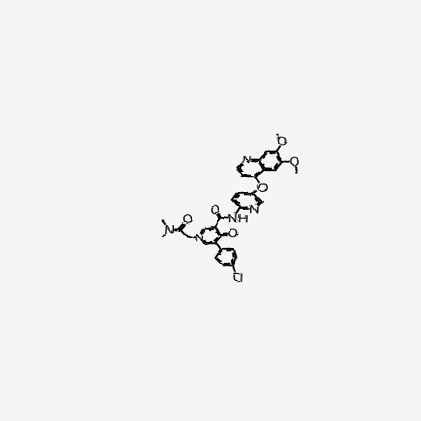 COc1cc2nccc(Oc3ccc(NC(=O)c4cn(CC(=O)N(C)C)cc(-c5ccc(Cl)cc5)c4=O)nc3)c2cc1OC